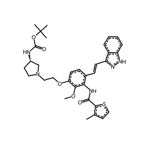 COc1c(OCCN2CC[C@@H](NC(=O)OC(C)(C)C)C2)ccc(C=Cc2n[nH]c3ccccc23)c1NC(=O)c1sccc1C